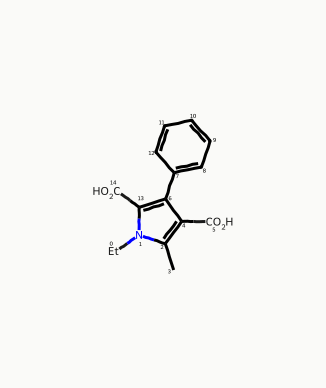 CCn1c(C)c(C(=O)O)c(-c2ccccc2)c1C(=O)O